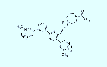 C=C/C(=C\N(C)C)c1cccc(-c2ccc(C(/C=N\C)=C/C(=C)C)c(/C=C/CC3(F)CCC=C(C(C)=O)CC3)n2)c1